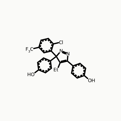 CCC1=C(c2ccc(O)cc2)N=NC1(c1ccc(O)cc1)c1cc(C(F)(F)F)ccc1Cl